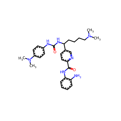 CN(C)CCCCC(NC(=O)Nc1ccc(N(C)C)cc1)c1ccc(C(=O)Nc2ccccc2N)nc1